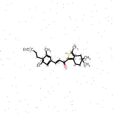 CCOC(=O)CCc1c(C)cc(/C=C/C(=O)c2sc(C(F)(F)F)c3c2CCC(C)(C)C3)cc1CC